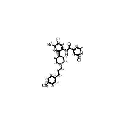 O=C(Nc1cc(F)c(Br)nc1C1CCN(CC=Cc2ccc(Cl)cc2)CC1)c1ccnc(Cl)c1